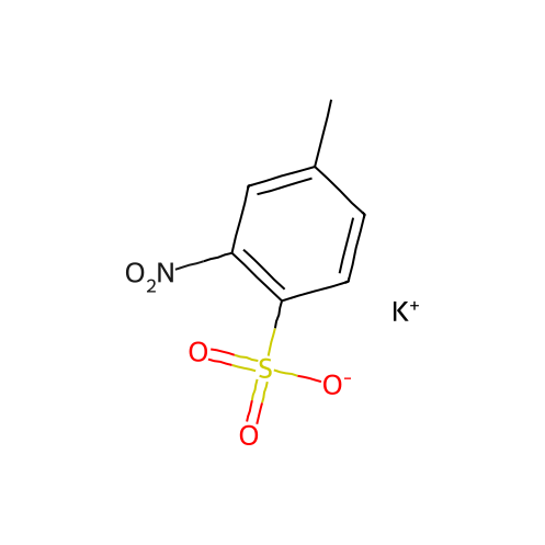 Cc1ccc(S(=O)(=O)[O-])c([N+](=O)[O-])c1.[K+]